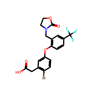 O=C(O)Cc1cc(Oc2ccc(C(F)(F)F)cc2CN2CCOC2=O)ccc1Br